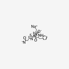 CCCP(=O)([O-])NC(Cc1ccccc1)C(=O)Nc1nc(CC(=O)N(C)C)cs1.[Na+]